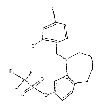 O=S(=O)(Oc1ccc2c(c1)N(Cc1ccc(Cl)cc1Cl)CCCC2)C(F)(F)F